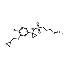 COCCCS(=O)(=O)NC1(c2ccc(F)c(OCC3CC3)c2)CC1